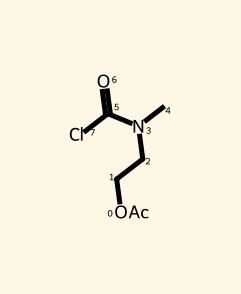 CC(=O)OCCN(C)C(=O)Cl